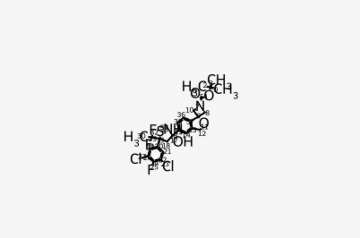 CC(C)(C)OC(=O)N1CC2(C1)OCc1cc(C3(O)CC(c4cc(Cl)c(F)c(Cl)c4)(C(C)(F)F)SN3)ccc12